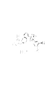 CC(C)Oc1ccc(-c2nc(-c3cccc4c3CCN(C[C@@H](O)CO)C4)no2)cc1C#N.Cl